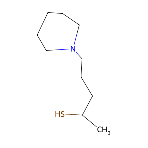 CC(S)CCCN1CCCCC1